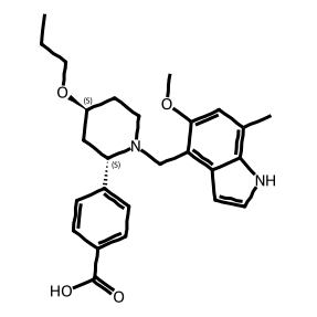 CCCO[C@H]1CCN(Cc2c(OC)cc(C)c3[nH]ccc23)[C@H](c2ccc(C(=O)O)cc2)C1